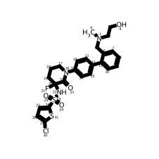 CN(CCO)Cc1ccccc1-c1ccc(N2CCCC(F)(NS(=O)(=O)c3ccc(Cl)s3)C2=O)cc1